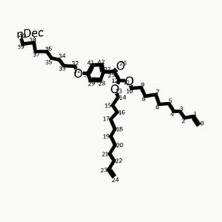 C=CCCCCCCCCCOC(OCCCCCCCCCC=C)C(=O)c1ccc(OCCCCCCCCCCCCCCCCCC)cc1